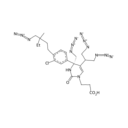 CCC(C)(CCc1ccc([C@]2(CN=[N+]=[N-])NC(=O)N(CCC(=O)O)C=C2C(CN=[N+]=[N-])CN=[N+]=[N-])cc1Cl)CN=[N+]=[N-]